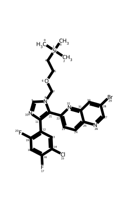 C[Si](C)(C)CCOCn1cnc(-c2cc(Cl)c(F)cc2F)c1-c1ccc2ncc(Br)cc2n1